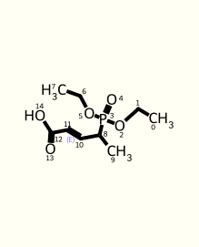 CCOP(=O)(OCC)C(C)/C=C/C(=O)O